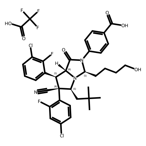 CC(C)(C)C[C@@H]1N2[C@H](CCCCO)N(c3ccc(C(=O)O)cc3)C(=O)[C@H]2[C@H](c2cccc(Cl)c2F)[C@@]1(C#N)c1ccc(Cl)cc1F.O=C(O)C(F)(F)F